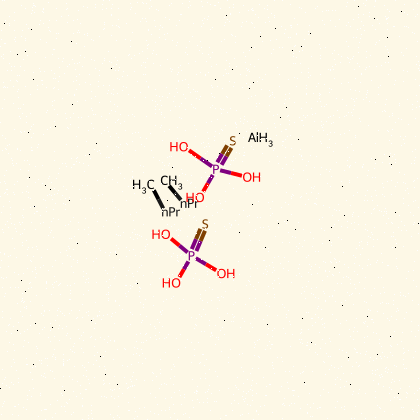 CCCC.CCCC.OP(O)(O)=S.OP(O)(O)=S.[AlH3]